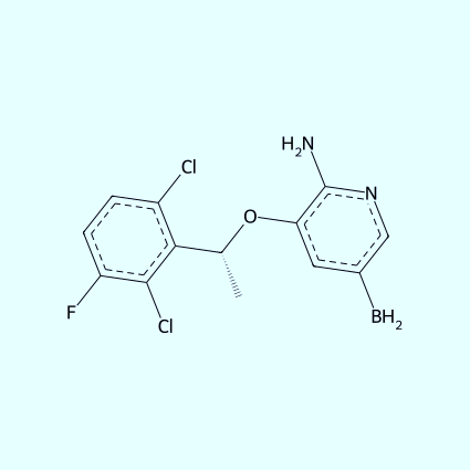 Bc1cnc(N)c(O[C@H](C)c2c(Cl)ccc(F)c2Cl)c1